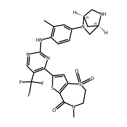 Cc1cc(N2C[C@H]3C[C@@H]2CN3)ccc1Nc1ncc(C(F)(F)F)c(-c2cc3c(s2)C(=O)N(C)CCS3(=O)=O)n1